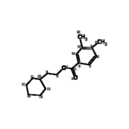 Cc1ccc(C(=O)OCCC2CCCCC2)cc1C